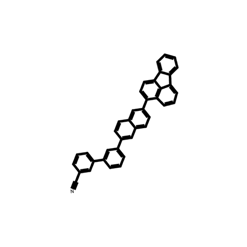 N#Cc1cccc(-c2cccc(-c3ccc4cc(-c5ccc6c7c(cccc57)-c5ccccc5-6)ccc4c3)c2)c1